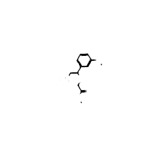 COC(=O)CSC(CN)c1cccc(OC)c1